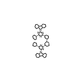 c1ccc(-c2cc(-n3c4ccccc4c4ccccc43)nc(-c3cccc(-c4cccc(-c5nc(-c6ccccc6)nc(-n6c7ccccc7c7ccccc76)n5)c4)c3)n2)cc1